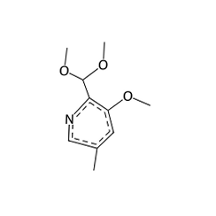 COc1cc(C)cnc1C(OC)OC